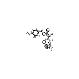 CCc1ccc(COC(=O)N(C)CCN(C)C(N)=O)cc1